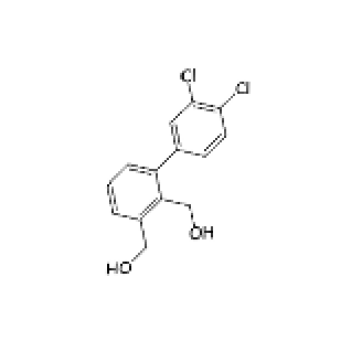 OCc1cccc(-c2ccc(Cl)c(Cl)c2)c1CO